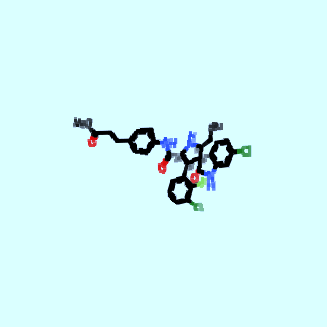 COC(=O)CCc1ccc(NC(=O)[C@@H]2N[C@@H](CC(C)(C)C)[C@@]3(C(=O)Nc4cc(Cl)ccc43)[C@H]2c2cccc(Cl)c2F)cc1